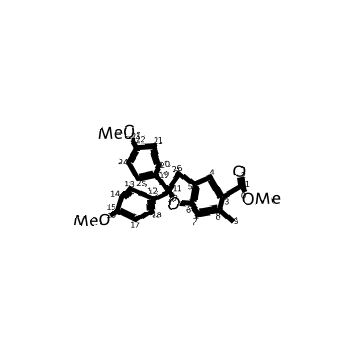 COC(=O)c1cc2c(cc1C)OC(c1ccc(OC)cc1)(c1ccc(OC)cc1)C2